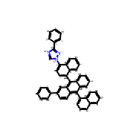 c1ccc(-c2ccc3c(-c4cccc5ccccc45)c4ccccc4c(-c4ccc(-n5cnc(-c6ccccc6)n5)c5ccccc45)c3c2)cc1